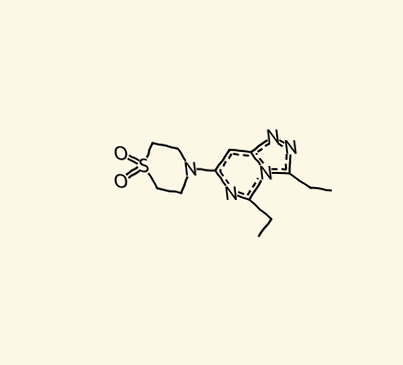 CCc1nnc2cc(N3CCS(=O)(=O)CC3)nc(CC)n12